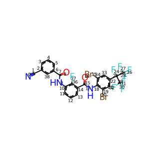 N#Cc1cccc(C(=O)Nc2cccc(C(=O)Nc3c(Br)cc(C(F)(C(F)(F)F)C(F)(F)F)cc3Br)c2F)c1